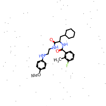 COc1ccc(NCCNC(=O)C(CC2CCCCC2)NC(=O)c2cccc(F)c2C)cc1